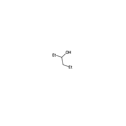 [CH2]CC(O)CCC